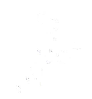 Cc1ccsc1-c1cc2cnc(Nc3ccc(N4CCNCC4)c(F)c3)nc2n(Cc2ncccc2C2CC2)c1=O